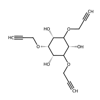 C#CCOC1[C@H](O)C(OCC#C)[C@H](O)[C@H](OCC#C)[C@@H]1O